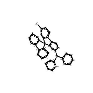 Brc1ccc2c(c1)C1(c3ccccc3-c3ccccc31)c1cc(N(c3ccccc3)c3ccccn3)ccc1-2